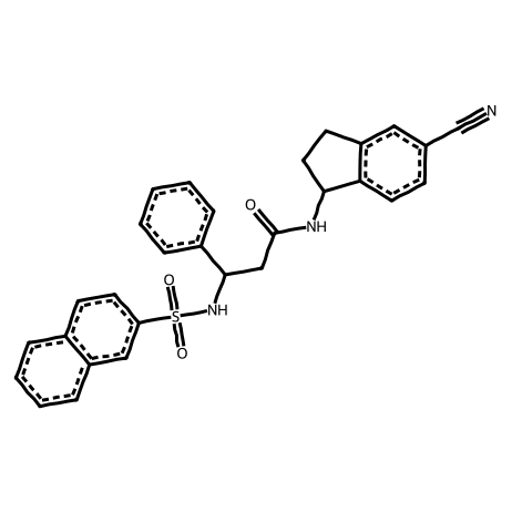 N#Cc1ccc2c(c1)CCC2NC(=O)CC(NS(=O)(=O)c1ccc2ccccc2c1)c1ccccc1